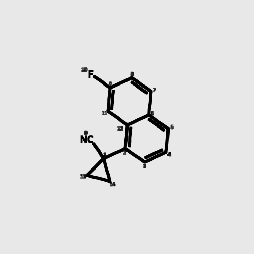 N#CC1(c2cccc3ccc(F)cc23)CC1